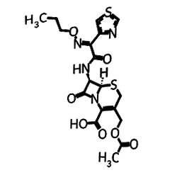 CCCON=C(C(=O)N[C@@H]1C(=O)N2C(C(=O)O)=C(COC(C)=O)CS[C@H]12)c1cscn1